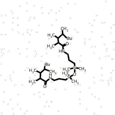 CCC(C)C(C)C(C)C(C)C(=O)NCCC[Si](C)(C)O[Si](C)(C)CCCNC(=O)C(C)C(C)C(C)C(C)CC